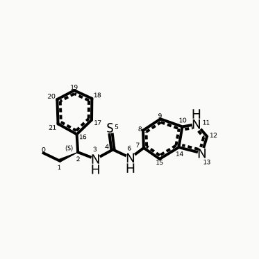 CC[C@H](NC(=S)Nc1ccc2[nH]cnc2c1)c1ccccc1